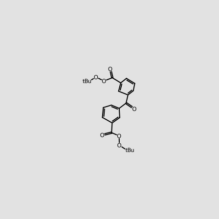 CC(C)(C)OOC(=O)c1cccc(C(=O)c2cccc(C(=O)OOC(C)(C)C)c2)c1